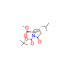 COC(=O)[C@H]1C[C@H](CC(C)C)CC(=O)N1C(=O)OC(C)(C)C